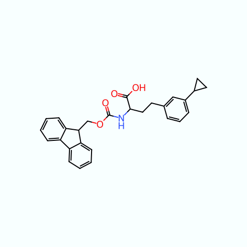 O=C(NC(CCc1cccc(C2CC2)c1)C(=O)O)OCC1c2ccccc2-c2ccccc21